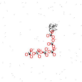 [Ca+2].[Ca+2].[Ca+2].[O]=[V](=[O])[O-].[O]=[V](=[O])[O-].[O]=[V](=[O])[O-].[O]=[V](=[O])[O-].[O]=[V](=[O])[O-].[O]=[V](=[O])[O-]